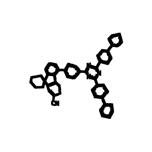 N#CC1=CC2=C(CC1)c1c(-c3ccc(-c4nc(-c5ccc(-c6ccccc6)cc5)nc(-c5ccc(-c6ccccc6)cc5)n4)cc3)cccc1C21CCCCC1